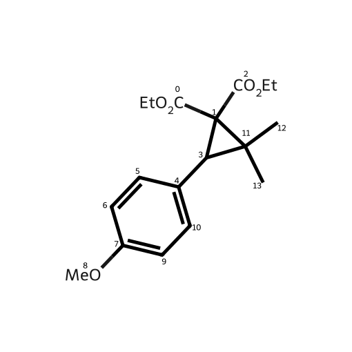 CCOC(=O)C1(C(=O)OCC)C(c2ccc(OC)cc2)C1(C)C